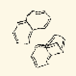 [c]1ccc2c3c1C(=CC=3)C=2.[c]1ccc2ccccc2c1